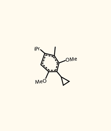 COc1cc(C(C)C)c(C)c(OC)c1C1CC1